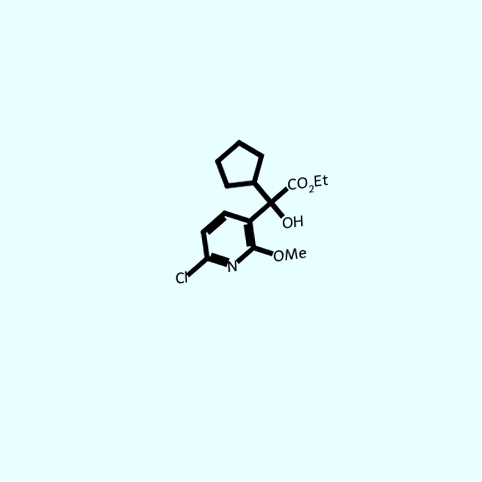 CCOC(=O)C(O)(c1ccc(Cl)nc1OC)C1CCCC1